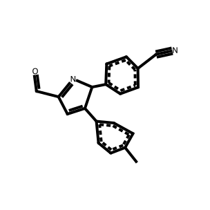 Cc1ccc(C2=CC(C=O)=NC2c2ccc(C#N)cc2)cc1